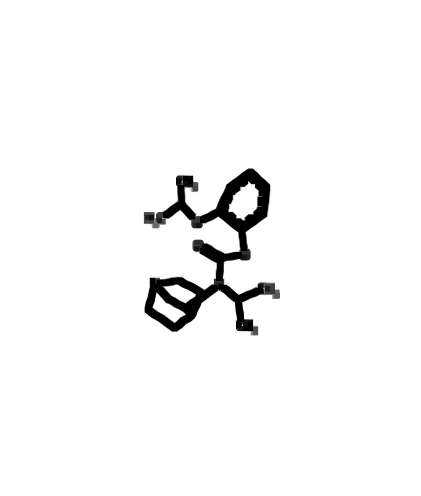 CC(C)Oc1ccccc1OC(=O)N(C(C)C)C1CN2CCC1CC2